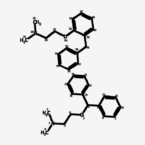 CN(C)CCOC(c1ccccc1)c1ccccc1.CN(C)CCOc1ccccc1Cc1ccccc1